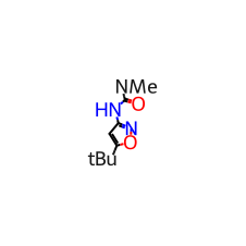 CNC(=O)Nc1cc(C(C)(C)C)on1